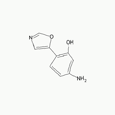 Nc1ccc(-c2cnco2)c(O)c1